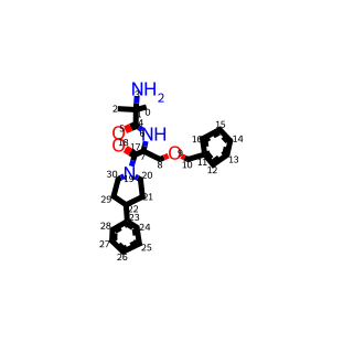 CC(C)(N)C(=O)NC(COCc1ccccc1)C(=O)N1CCC(c2ccccc2)CC1